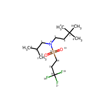 CC(C)CN(CCC(C)(C)C)S(=O)(=O)CCC(F)(F)F